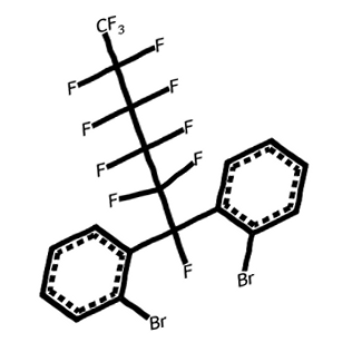 FC(F)(F)C(F)(F)C(F)(F)C(F)(F)C(F)(F)C(F)(c1ccccc1Br)c1ccccc1Br